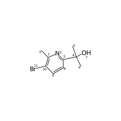 Cc1nc(C(C)(C)O)ccc1Br